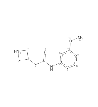 O=C(CC1CNC1)Nc1cccc(OC(F)(F)F)c1